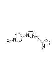 CC(C)N1CCC(N2CCN(CCC3CCCN3C)C2)CC1